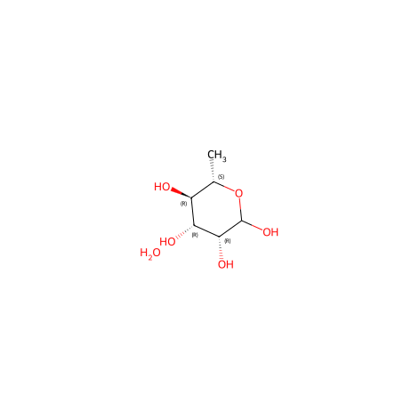 C[C@@H]1OC(O)[C@H](O)[C@H](O)[C@H]1O.O